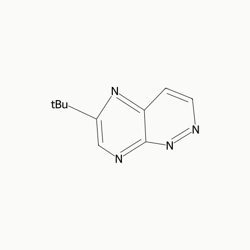 CC(C)(C)c1cnc2nnccc2n1